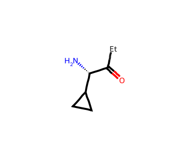 CCC(=O)[C@@H](N)C1CC1